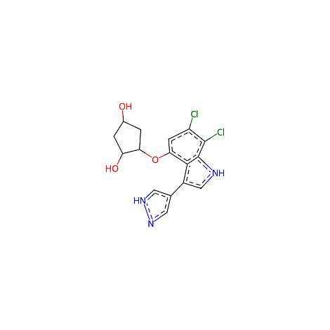 OC1CC(O)C(Oc2cc(Cl)c(Cl)c3[nH]cc(-c4cn[nH]c4)c23)C1